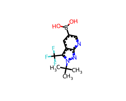 CC(C)(C)n1nc2ncc(B(O)O)cc2c1C(F)(F)F